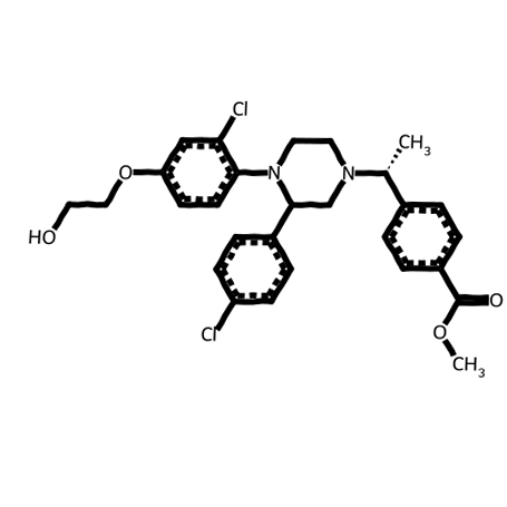 COC(=O)c1ccc([C@@H](C)N2CCN(c3ccc(OCCO)cc3Cl)C(c3ccc(Cl)cc3)C2)cc1